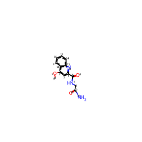 COc1cc(C(=O)NCC(N)=O)nc2ccccc12